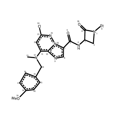 CCN1CC(NC(=O)c2cnc3c(N(C)Cc4ccc(OC)cc4)cc(Cl)nn23)C1=O